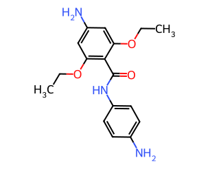 CCOc1cc(N)cc(OCC)c1C(=O)Nc1ccc(N)cc1